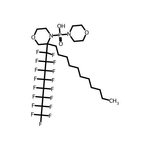 CCCCCCCCCCCC1(C(F)(F)C(F)(F)C(F)(F)C(F)(F)C(F)(F)C(F)(F)C(F)(F)C(F)(F)F)COCCN1P(=O)(O)N1CCOCC1